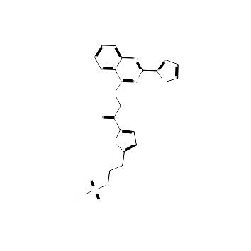 CS(=O)(=O)NCCc1ccc(C(=O)CSc2nc(-c3cccs3)nc3ccccc23)s1